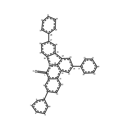 O=c1c2cc(-c3ccccc3)ccc2c2cc(-c3ccccc3)cc3c4cc(-c5ccccc5)ccc4n1c23